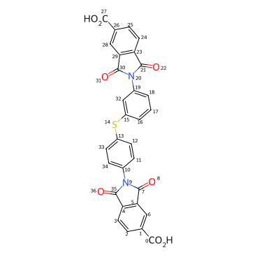 O=C(O)c1ccc2c(c1)C(=O)N(c1ccc(Sc3cccc(N4C(=O)c5ccc(C(=O)O)cc5C4=O)c3)cc1)C2=O